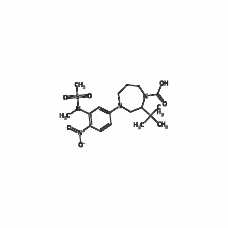 CN(c1cc(N2CCCN(C(=O)O)C(C(C)(C)C)C2)ccc1[N+](=O)[O-])S(C)(=O)=O